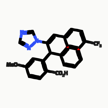 COc1ccc(C(=O)O)c(C(/C(=C\c2ccc(C(F)(F)F)cc2)n2cncn2)c2ccccc2)c1